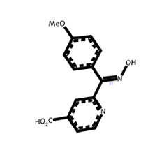 COc1ccc(/C(=N\O)c2cc(C(=O)O)ccn2)cc1